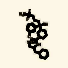 CNCC(CC1CCCCC1)NC(=O)N1CCCC(C(O)(CCCC(C)(F)F)c2cccc(Cl)c2)C1